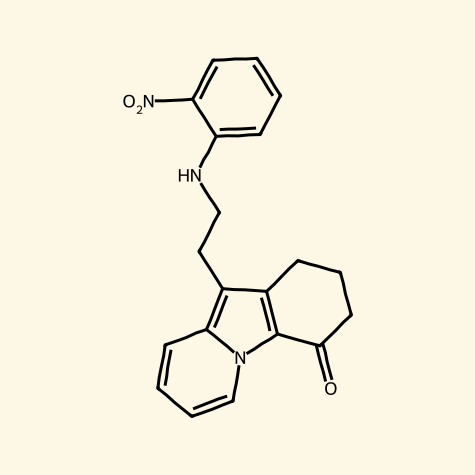 O=C1CCCc2c(CCNc3ccccc3[N+](=O)[O-])c3ccccn3c21